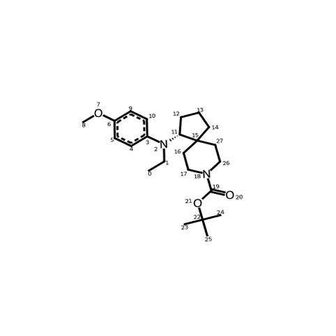 CCN(c1ccc(OC)cc1)[C@@H]1CCCC12CCN(C(=O)OC(C)(C)C)CC2